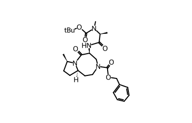 C[C@@H]1CC[C@@H]2CCN(C(=O)OCc3ccccc3)C[C@H](NC(=O)[C@H](C)N(C)C(=O)OC(C)(C)C)C(=O)N21